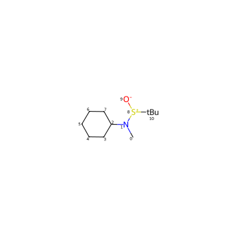 CN(C1CCCCC1)[S+]([O-])C(C)(C)C